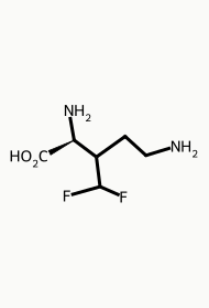 NCCC(C(F)F)[C@H](N)C(=O)O